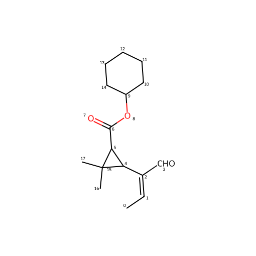 C/C=C(/C=O)C1C(C(=O)OC2CCCCC2)C1(C)C